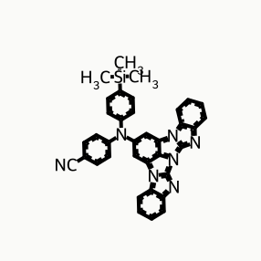 C[Si](C)(C)c1ccc(N(c2ccc(C#N)cc2)c2cc3c4c(c2)n2c5ccccc5nc2n4c2nc4ccccc4n32)cc1